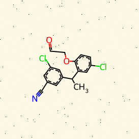 CC(c1cc(Cl)cc(C#N)c1)c1cc(Cl)ccc1OCC=O